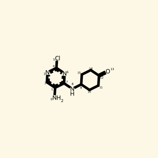 Nc1cnc(Cl)nc1NC1CCC(=O)CC1